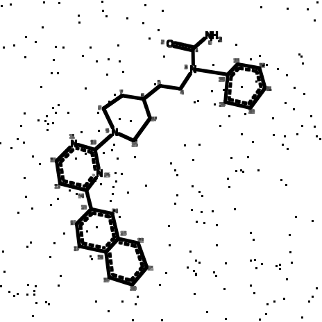 NC(=O)N(CCC1CCN(c2nccc(-c3ccc4ccccc4c3)n2)CC1)c1ccccc1